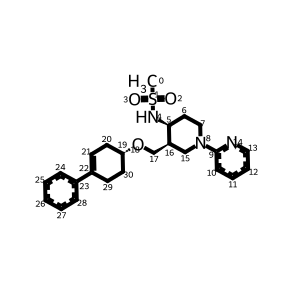 CS(=O)(=O)N[C@H]1CCN(c2ccccn2)C[C@H]1CO[C@H]1CC=C(c2ccccc2)CC1